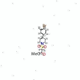 COC(=O)C(C)(C)S(=O)(=O)N1CC=C(c2ccc(Br)c(C)c2)CC1